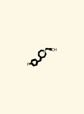 C#CCN1CCC/C(=C\c2ccc(F)cc2)CC1